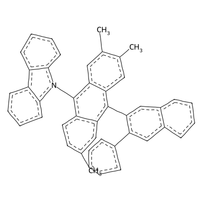 Cc1ccc2c(-n3c4ccccc4c4ccccc43)c3cc(C)c(C)cc3c(-c3cc4ccccc4cc3-c3ccccc3)c2c1